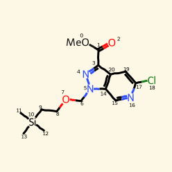 COC(=O)c1nn(COCC[Si](C)(C)C)c2cnc(Cl)cc12